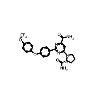 NC(=O)c1cc(N2CCC[C@H]2C(N)=O)nc(-c2ccc(Oc3ccc(OC(F)(F)F)cc3)cc2)n1